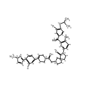 CC(C)Oc1ccc(C(=N)c2nc(N3CC[C@]4(CCN(CC(=O)N5CC=C(c6ccc(-c7ncn(C)n7)c(F)c6)CC5)C4)C3=O)ccc2N)cc1F